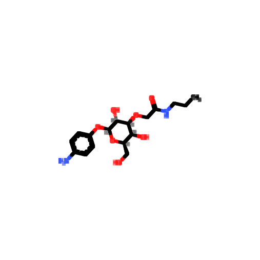 CCCNC(=O)CO[C@H]1[C@@H](O)[C@@H](CO)O[C@@H](Oc2ccc(N)cc2)[C@@H]1O